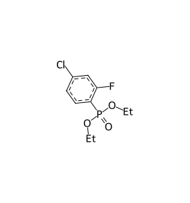 CCOP(=O)(OCC)c1ccc(Cl)cc1F